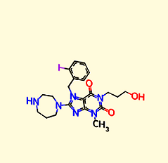 Cn1c(=O)n(CCCO)c(=O)c2c1nc(N1CCCNCC1)n2Cc1ccccc1I